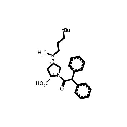 CN(CCCC(C)(C)C)[C@H]1C[C@@H](C(=O)O)N(C(=O)C(c2ccccc2)c2ccccc2)C1